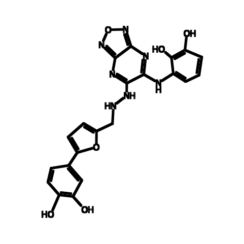 Oc1ccc(-c2ccc(CNNc3nc4nonc4nc3Nc3cccc(O)c3O)o2)cc1O